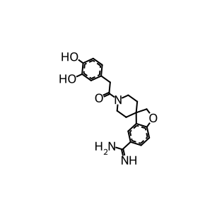 N=C(N)c1ccc2c(c1)C1(CCN(C(=O)Cc3ccc(O)c(O)c3)CC1)CO2